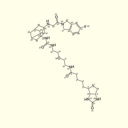 O=C(CCCCC1SCC2NC(=O)NC21)NCCOCCNC(=O)NC12CC3CC(CC(NCC(=O)N4Cc5ccc(F)cc5C4)(C3)C1)C2